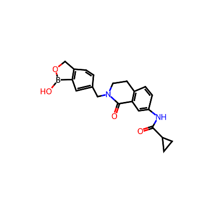 O=C(Nc1ccc2c(c1)C(=O)N(Cc1ccc3c(c1)B(O)OC3)CC2)C1CC1